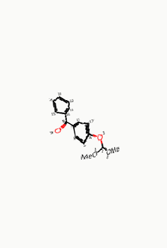 COC(OC)Oc1ccc(C(=O)c2ccccc2)cc1